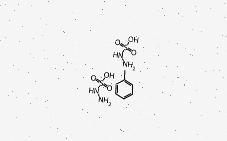 Cc1ccccc1.NNS(=O)(=O)O.NNS(=O)(=O)O